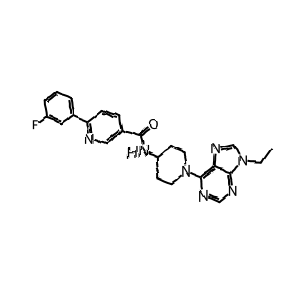 CCn1cnc2c(N3CCC(NC(=O)c4ccc(-c5cccc(F)c5)nc4)CC3)ncnc21